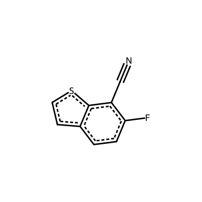 N#Cc1c(F)ccc2ccsc12